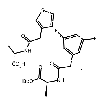 CC(C)COC(=O)[C@H](C)NC(=O)Cc1cc(F)cc(F)c1.C[C@H](NC(=O)Cc1ccsc1)C(=O)O